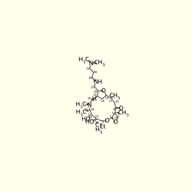 CC[C@H]1OC(=O)[C@@](C)(F)C(=O)CC[C@@]2(C)C[C@H](CN(C)[C@H](C)[C@@H](O)[C@]1(C)O)C(CNCCCN(C)C)O2